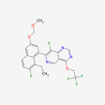 CCc1c(F)ccc2cc(OCOC)cc(-c3ncc4c(OCC(F)(F)F)ncnc4c3F)c12